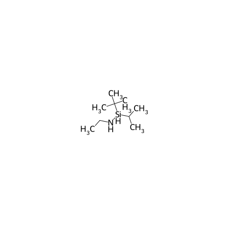 CCN[SiH](C(C)C)C(C)(C)C